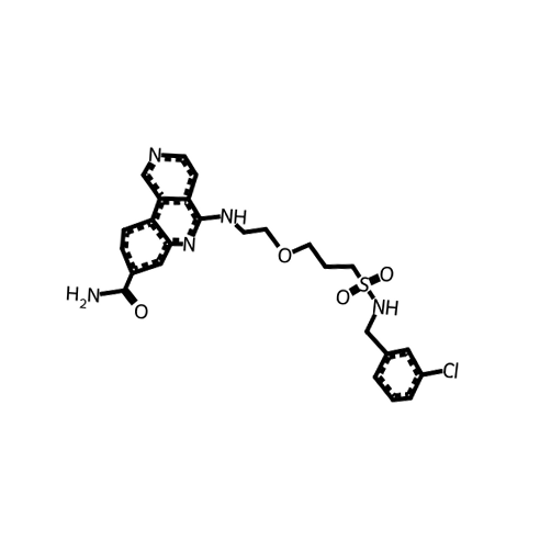 NC(=O)c1ccc2c(c1)nc(NCCOCCCS(=O)(=O)NCc1cccc(Cl)c1)c1ccncc12